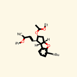 CCCCc1cccc2c1O[C@H]1C[C@@H](OC(C)OCC)[C@H](/C=C/C(C#N)OC(C)C)[C@@H]21